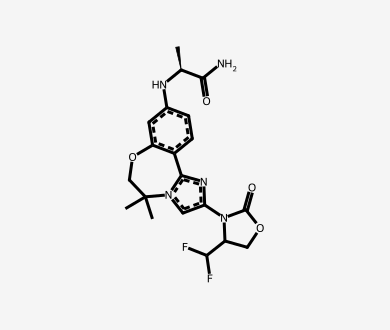 C[C@H](Nc1ccc2c(c1)OCC(C)(C)n1cc(N3C(=O)OCC3C(F)F)nc1-2)C(N)=O